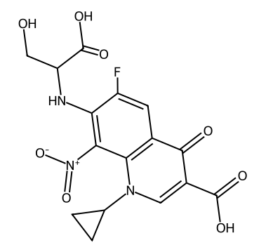 O=C(O)c1cn(C2CC2)c2c([N+](=O)[O-])c(NC(CO)C(=O)O)c(F)cc2c1=O